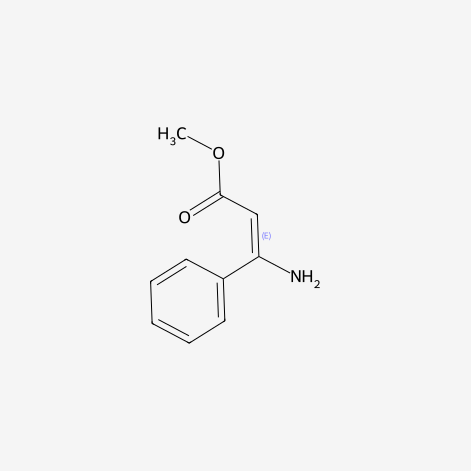 COC(=O)/C=C(/N)c1ccccc1